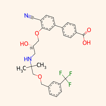 CC(C)(COCc1cccc(C(F)(F)F)c1)NC[C@H](O)COc1cc(-c2ccc(C(=O)O)cc2)ccc1C#N